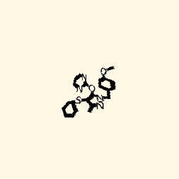 COc1ccc(Cn2nc(C)c(Sc3ccccc3)c2Oc2ncccn2)cc1